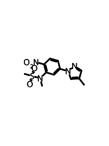 Cc1cnn(-c2ccc([N+](=O)[O-])c(N(C)S(C)(=O)=O)c2)c1